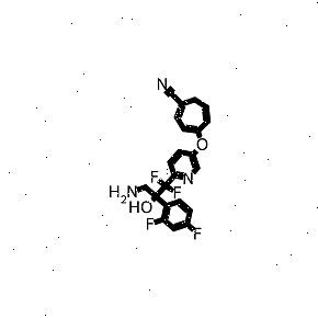 N#CC1=CC=C(Oc2ccc(C(F)(F)C(O)(CN)c3ccc(F)cc3F)nc2)C=CC1